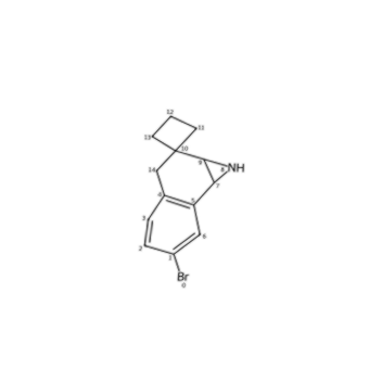 Brc1ccc2c(c1)C1NC1C1(CCC1)C2